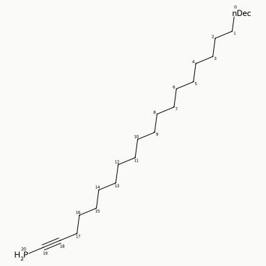 CCCCCCCCCCCCCCCCCCCCCCCCCCCC#CP